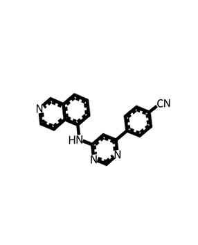 N#Cc1ccc(-c2cc(Nc3cccc4cnccc34)ncn2)cc1